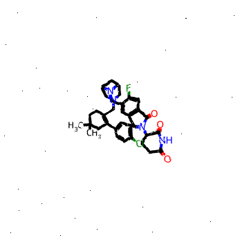 CC1(C)CCC(CN2CC3CC(C2)N3Cc2cc3c(cc2F)C(=O)N(C2CCC(=O)NC2=O)C3)=C(c2ccc(Cl)cc2)C1